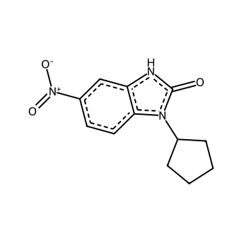 O=c1[nH]c2cc([N+](=O)[O-])ccc2n1C1CCCC1